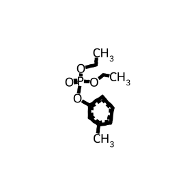 CCOP(=O)(OCC)Oc1cccc(C)c1